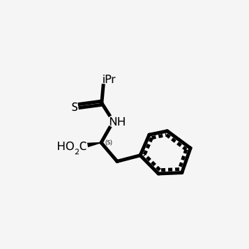 CC(C)C(=S)N[C@@H](Cc1ccccc1)C(=O)O